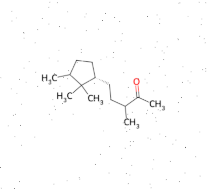 CC(=O)C(C)CC[C@H]1CCC(C)C1(C)C